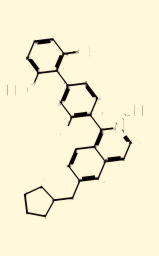 Cc1cc(-c2c(C)cccc2C)ccc1-c1c2ccc(CC3CCCC3)cc2cc[n+]1C